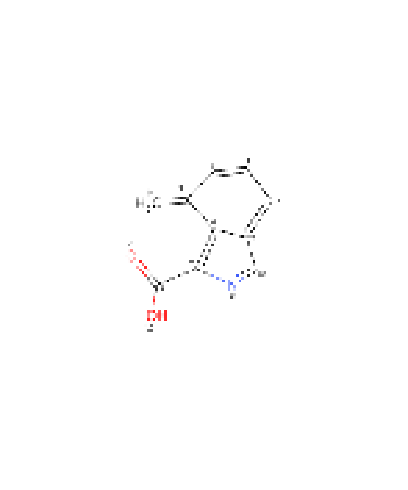 C=c1cccc2c1=C(C(=O)O)N=C2